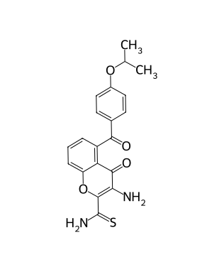 CC(C)Oc1ccc(C(=O)c2cccc3oc(C(N)=S)c(N)c(=O)c23)cc1